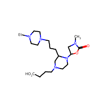 CCN1CCN(CCCC2CN(CCCC(=O)O)CCN2C2CN(C)C(=O)O2)CC1